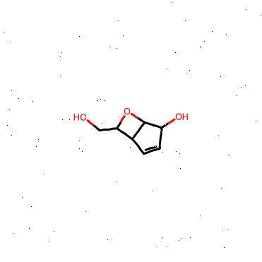 OCC1OC2C(O)C=CC12